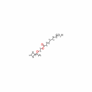 C=CC(OCCOC(=O)CCCCCCCC(=O)O)=C1CCC1